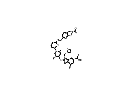 CC(=O)N1Cc2ccc(COc3cccc(-c4cc(F)c(Cc5nc6c(F)cc(C(=O)O)cc6n5C[C@@H]5CCO5)cc4F)n3)cc2C1